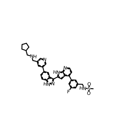 CS(=O)(=O)NCc1cc(F)cc(-c2ccnc3[nH]c(-c4n[nH]c5ccc(-c6cncc(CNCC7CCCC7)c6)cc45)cc23)c1